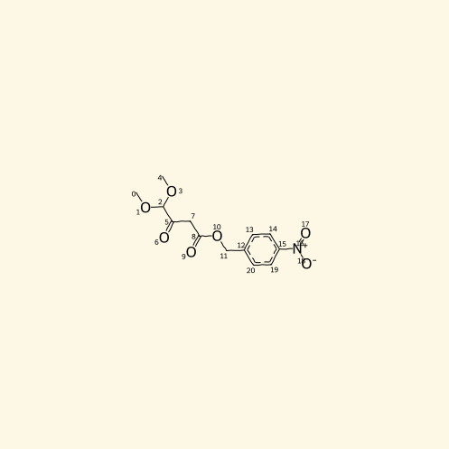 COC(OC)C(=O)CC(=O)OCc1ccc([N+](=O)[O-])cc1